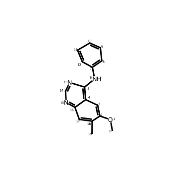 COc1cc2c(Nc3ccccc3)ncnc2cc1C